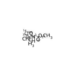 CCOC(=O)CNC(=O)C(C)(Cl)C1CCC1